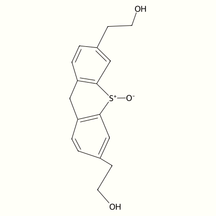 [O-][S+]1c2cc(CCO)ccc2Cc2ccc(CCO)cc21